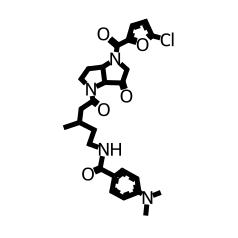 CC(CCNC(=O)c1ccc(N(C)C)cc1)CC(=O)N1CCC2C1C(=O)CN2C(=O)c1ccc(Cl)o1